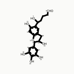 O=CCCCC(O)c1cc2c(cc1O)OC(c1cc(O)c(O)c(O)c1)C(O)C2